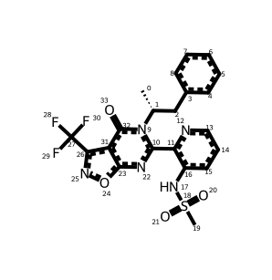 C[C@H](Cc1ccccc1)n1c(-c2ncccc2NS(C)(=O)=O)nc2onc(C(F)(F)F)c2c1=O